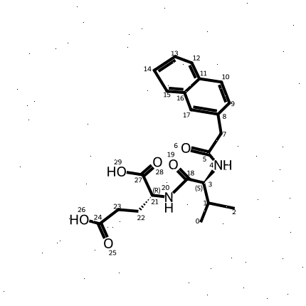 CC(C)[C@H](NC(=O)Cc1ccc2ccccc2c1)C(=O)N[C@H](CCC(=O)O)C(=O)O